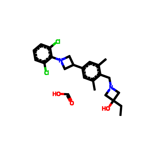 CCC1(O)CN(Cc2c(C)cc(C3CN(c4c(Cl)cccc4Cl)C3)cc2C)C1.O=CO